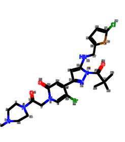 CN1CCN(C(=O)Cn2cc(Br)c(-c3cc(NCc4ccc(Cl)s4)n(C(=O)C(C)(C)C)n3)cc2=O)CC1